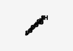 CSCCOCCOCCOCCOC(=O)CCS